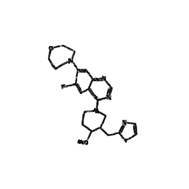 COC1CCN(c2ncnc3cc(N4CCOCC4)c(F)cc23)CC1Cc1nccs1